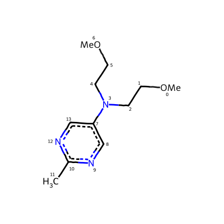 COCCN(CCOC)c1cnc(C)nc1